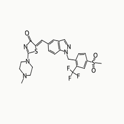 CN1CCN(C2=NC(=O)/C(=C/c3ccc4c(cnn4Cc4ccc(S(C)(=O)=O)cc4C(F)(F)F)c3)S2)CC1